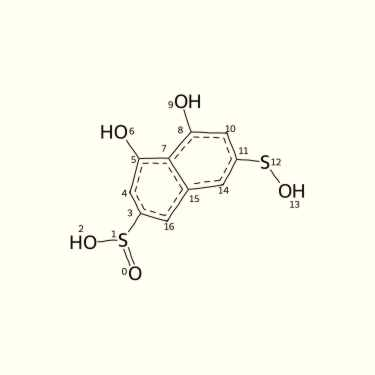 O=S(O)c1cc(O)c2c(O)cc(SO)cc2c1